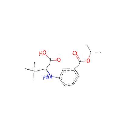 CC(C)OC(=O)c1cccc(NC(C(=O)O)C(C)(C)C)c1